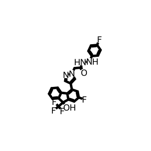 O=C(Cn1cc(-c2cc(F)cc3c2-c2ccccc2C3(O)C(F)(F)F)cn1)NNc1ccc(F)cc1